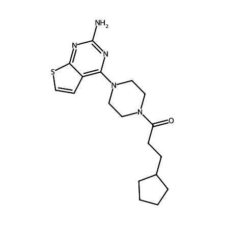 Nc1nc(N2CCN(C(=O)CCC3CCCC3)CC2)c2ccsc2n1